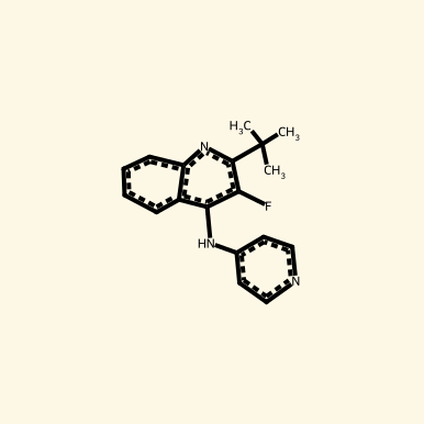 CC(C)(C)c1nc2ccccc2c(Nc2ccncc2)c1F